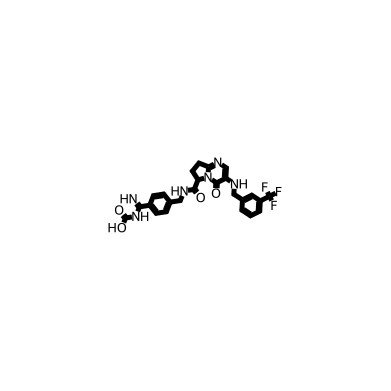 N=C(NC(=O)O)c1ccc(CNC(=O)C2CCc3ncc(NCc4cccc(C(F)(F)F)c4)c(=O)n32)cc1